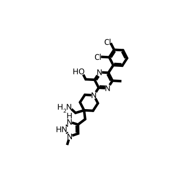 Cc1nc(N2CCC(CN)(CC3=CN(C)NN3)CC2)c(CO)nc1-c1cccc(Cl)c1Cl